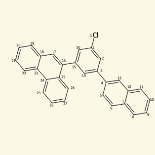 Clc1cc(-c2ccc3ccccc3c2)cc(-c2cc3ccccc3c3ccccc23)c1